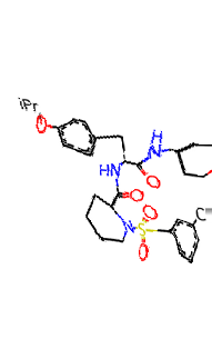 CC(C)Oc1ccc(C[C@H](NC(=O)C2CCCCN2S(=O)(=O)c2cccc(C(F)(F)F)c2)C(=O)NC2CCOCC2)cc1